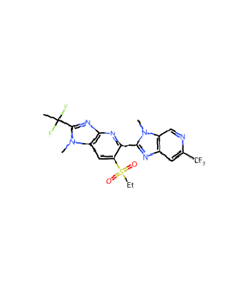 CCS(=O)(=O)c1cc2c(nc1-c1nc3cc(C(F)(F)F)ncc3n1C)nc(C(C)(F)F)n2C